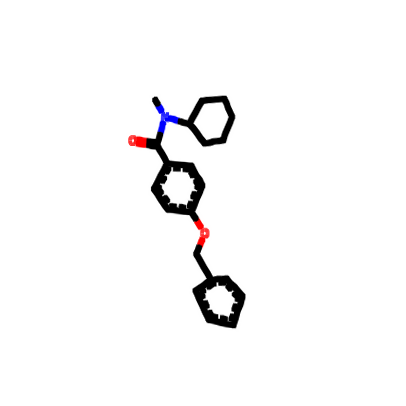 CN(C(=O)c1ccc(OCc2ccccc2)cc1)C1CCCCC1